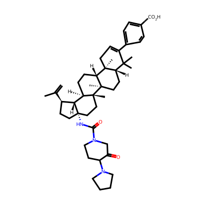 C=C(C)[C@@H]1CC[C@]2(NC(=O)N3CCC(N4CCCC4)C(=O)C3)CC[C@]3(C)[C@H](CC[C@@H]4[C@@]5(C)CC=C(c6ccc(C(=O)O)cc6)C(C)(C)[C@@H]5CC[C@]43C)[C@@H]12